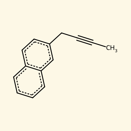 CC#CCc1ccc2ccccc2c1